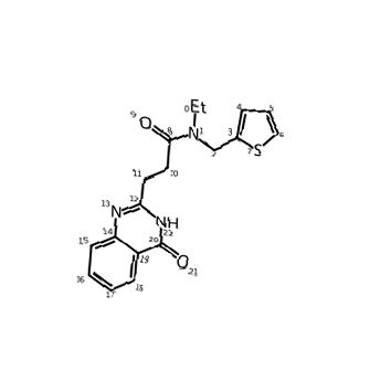 CCN(Cc1cccs1)C(=O)CCc1nc2ccccc2c(=O)[nH]1